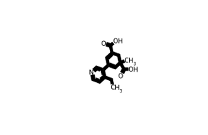 CCc1ccncc1C1=CC(C)(C(=O)O)CC(C(=O)O)=C1